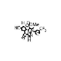 COC(=O)C1=C(C)N(c2cccc(C(F)(F)F)c2)c2n[nH]c(=O)n2[C@@H]1c1ccc(C#N)cc1CC[N+](C)(C)C.O